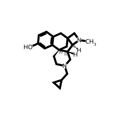 CN1CC23Cc4ccc(O)cc4[C@]4(CCN(CC5CC5)C[C@H]4[C@H]12)C3